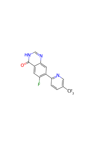 O=c1[nH]cnc2cc(-c3ccc(C(F)(F)F)cn3)c(F)cc12